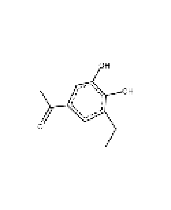 CCc1cc(C(C)=O)cc(O)c1O